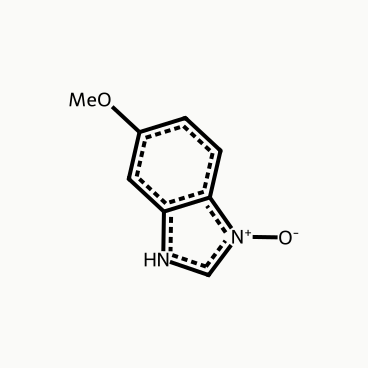 COc1ccc2c(c1)[nH]c[n+]2[O-]